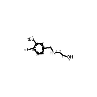 CC(C)(C)c1cc(CNCCO)ccc1F